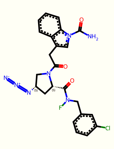 [N-]=[N+]=N[C@H]1C[C@@H](C(=O)N(F)Cc2cccc(Cl)c2)N(C(=O)Cc2cn(C(N)=O)c3ccccc23)C1